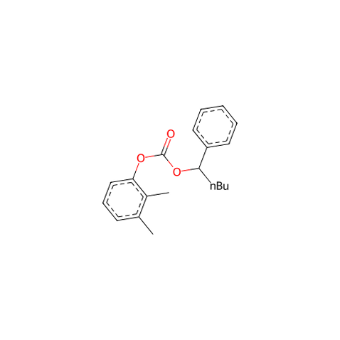 CCCCC(OC(=O)Oc1cccc(C)c1C)c1ccccc1